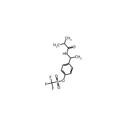 CC(C)C(=O)NC(C)c1ccc(OS(=O)(=O)C(F)(F)F)cc1